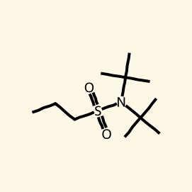 CCCS(=O)(=O)N(C(C)(C)C)C(C)(C)C